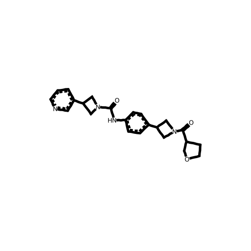 O=C(Nc1ccc(C2CN(C(=O)C3CCOC3)C2)cc1)N1CC(c2cccnc2)C1